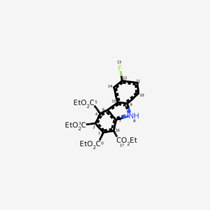 CCOC(=O)c1c(C(=O)OCC)c(C(=O)OCC)c2c([nH]c3ccc(F)cc32)c1C(=O)OCC